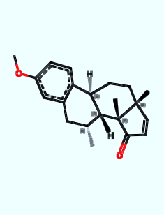 COc1ccc2c(c1)C[C@@H](C)[C@@H]1[C@@H]2CC[C@]2(C)C=CC(=O)[C@]12C